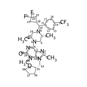 Cc1nc2c(N3C[C@@H](C)N(C(c4ccc(C(F)(F)F)cc4)C4CC(F)(F)C4)C[C@@H]3C)nc(=O)n(C)c2n1C[C@@H]1CCCO1